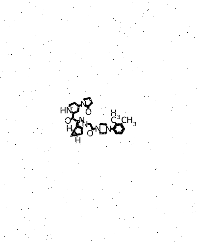 Cc1cccc(N2CCN(C(=O)Cn3nc(C(=O)C4CC(N5CCCC5=O)CCN4)c4c3C[C@H]3C[C@@H]43)CC2)c1C